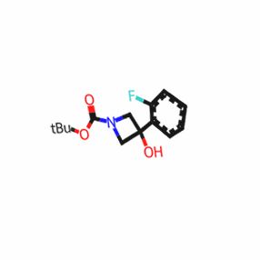 CC(C)(C)OC(=O)N1CC(O)(c2ccccc2F)C1